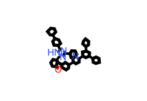 c1ccc(C2=NC(c3cccc4oc5ccc(-c6ccc(-c7cc(-c8ccccc8)cc(-c8ccccc8)c7)nc6)cc5c34)NC(c3ccc(-c4ccccc4)cc3)=N2)cc1